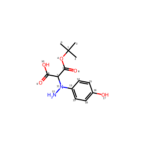 CC(C)(C)OC(=O)C(C(=O)O)N(N)c1ccc(O)cc1